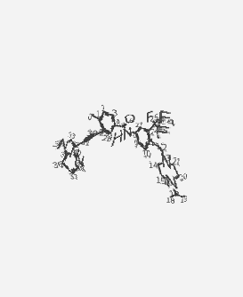 Cc1ccc(C(=O)Nc2ccc(CN3CCN(C(C)C)CC3)c(C(F)(F)F)c2)cc1C#Cc1cnc2cccnn12